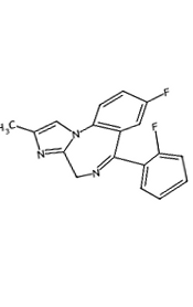 Cc1cn2c(n1)CN=C(c1ccccc1F)c1cc(F)ccc1-2